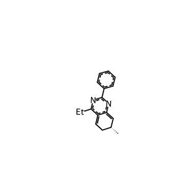 CCc1nc(-c2ccccc2)nc2c1=CC[C@@H](C)C=2